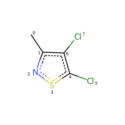 Cc1nsc(Cl)c1Cl